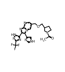 CC(=O)N1CCC(COCc2cnc3nc(-c4nc(C(F)(F)F)n[nH]4)c(-c4c[nH]cn4)n3c2)C1